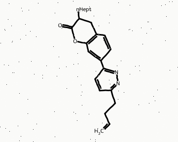 C=CCCc1ccc(-c2ccc3c(c2)OC(=O)C(CCCCCCC)C3)nn1